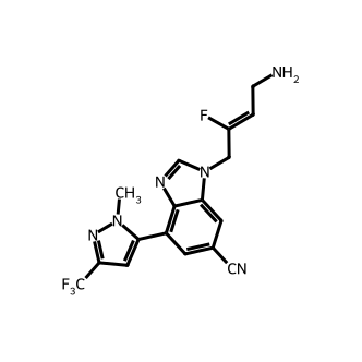 Cn1nc(C(F)(F)F)cc1-c1cc(C#N)cc2c1ncn2CC(F)=CCN